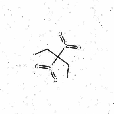 [CH2]CC(CC)([SH](=O)=O)[SH](=O)=O